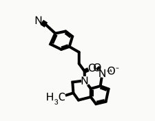 CC1Cc2cccc([N+](=O)[O-])c2N(C(=O)CCc2ccc(C#N)cc2)C1